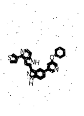 c1cc2[nH]c(-c3n[nH]c4ccc(-c5cncc(OC6CCCCC6)c5)cc34)cc2c(-c2ccsc2)n1